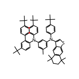 Cc1cc(N(c2ccc(C(C)(C)C)cc2)c2ccc(C(C)(C)C)cc2-c2ccc(C(C)(C)C)cc2)cc(N(c2ccc(C(C)(C)C)cc2)c2csc3cc4c(cc23)C(C)(C)CCC4(C)C)c1